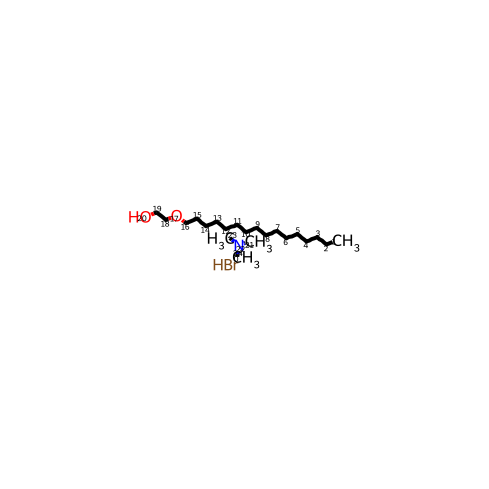 Br.CCCCCCCCCCCCCCCCOCCO.CN(C)C